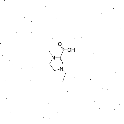 CCN1CCN(C)C(C(=O)O)C1